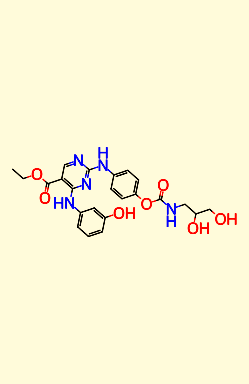 CCOC(=O)c1cnc(Nc2ccc(OC(=O)NCC(O)CO)cc2)nc1Nc1cccc(O)c1